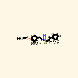 C#CCOc1ccc(CCNC(=S)[C@@H](Cc2ccccc2)OC)cc1OC